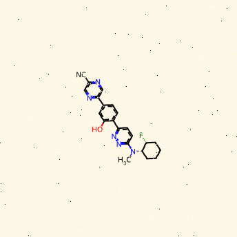 CN(c1ccc(-c2ccc(-c3cnc(C#N)cn3)cc2O)nn1)[C@H]1CCCC[C@H]1F